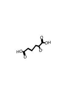 [O]C(CCCC(=O)O)C(=O)O